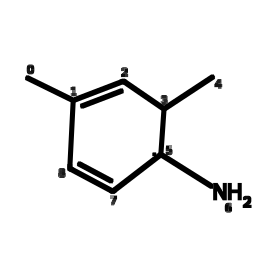 CC1=CC(C)[C](N)C=C1